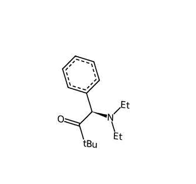 CCN(CC)[C@@H](C(=O)C(C)(C)C)c1ccccc1